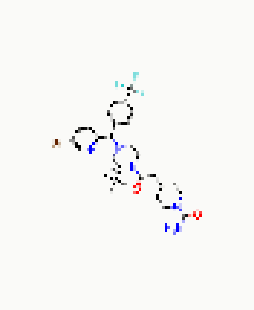 CC(C)(C)[C@H]1CN(C(c2ccc(C(F)(F)F)cc2)c2ccc(Br)cn2)CCN1C(=O)CC1CCN(C(N)=O)CC1